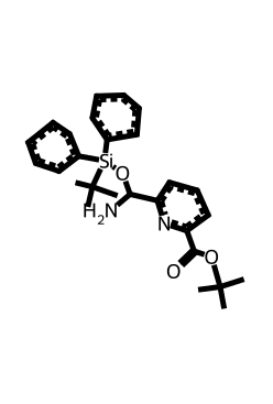 CC(C)(C)OC(=O)c1cccc(C(N)O[Si](c2ccccc2)(c2ccccc2)C(C)(C)C)n1